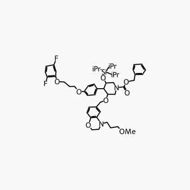 COCCCN1CCOc2ccc(COC3CN(C(=O)OCc4ccccc4)CC(O[Si](C(C)C)(C(C)C)C(C)C)C3c3ccc(OCCCOc4cc(F)ccc4F)cc3)cc21